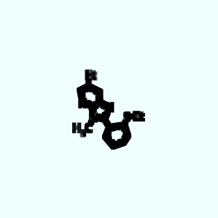 CCSc1ccccc1-c1nc2cc(CC)cnc2n1C